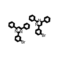 Brc1cccc(-c2cc(-c3ccccc3)nc(-c3ccccc3)n2)c1.Brc1cccc(-c2nc(-c3ccccc3)cc(-c3ccccc3)n2)c1